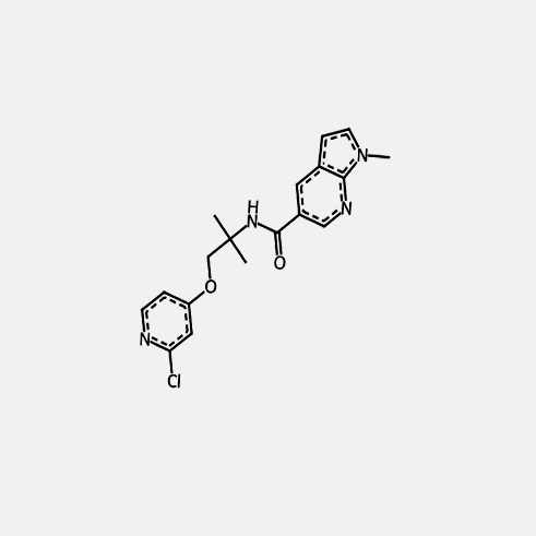 Cn1ccc2cc(C(=O)NC(C)(C)COc3ccnc(Cl)c3)cnc21